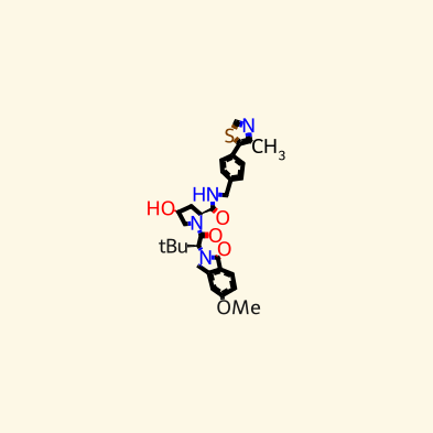 COc1ccc2c(c1)CN([C@H](C(=O)N1C[C@H](O)C[C@H]1C(=O)NCc1ccc(-c3scnc3C)cc1)C(C)(C)C)C2=O